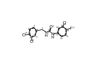 O=C(NCc1ccc(Cl)c(Cl)c1)Nc1ccc(F)c(Cl)c1